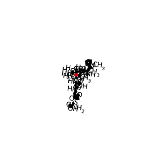 CN[C@H](C(=O)N[C@H](C(=O)N(C)[C@H](/C=C(\C)C(=O)N[C@@H](CC(=O)NCCN1C(=O)CC(SC[C@H](N)C(=O)O)C1=O)C(=O)O)C(C)C)C(C)(C)C)C(C)(C)c1cn(C)c2ccccc12